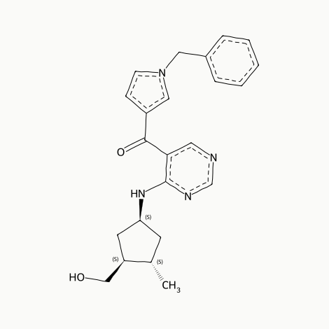 C[C@H]1C[C@H](Nc2ncncc2C(=O)c2ccn(Cc3ccccc3)c2)C[C@@H]1CO